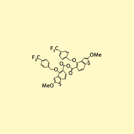 COc1cc2c(OCc3ccc(C(F)(F)F)cc3)c(C(=O)OC(=O)c3ccc4sc(OC)cc4c3OCc3ccc(C(F)(F)F)cc3)ccc2s1